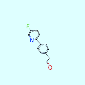 O=CCc1ccc(-c2ccc(F)cn2)cc1